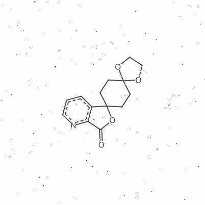 O=C1OC2(CCC3(CC2)OCCO3)c2cccnc21